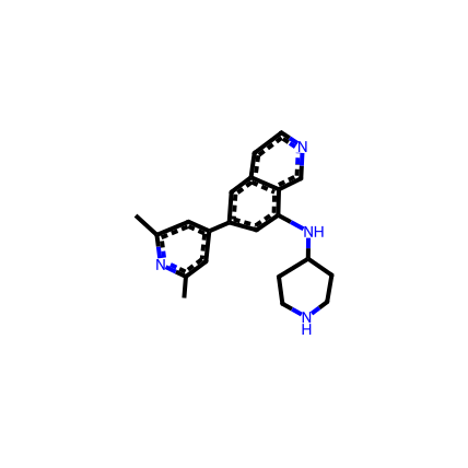 Cc1cc(-c2cc(NC3CCNCC3)c3cnccc3c2)cc(C)n1